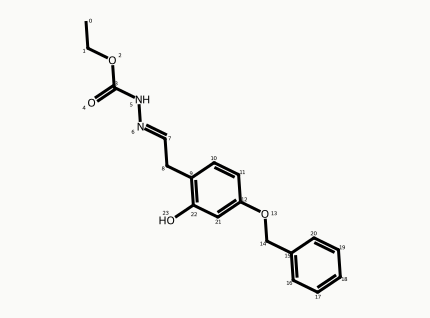 CCOC(=O)NN=CCc1ccc(OCc2ccccc2)cc1O